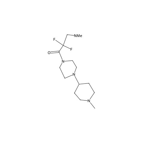 CNCC(F)(F)C(=O)N1CCN(C2CCN(C)CC2)CC1